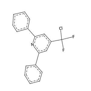 FC(F)(Cl)c1cc(-c2ccccc2)nc(-c2ccccc2)c1